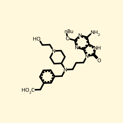 CCCCOc1nc(N)c2[nH]c(=O)n(CCCN(Cc3cccc(CC(=O)O)c3)C3CCN(CCO)CC3)c2n1